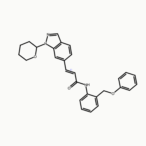 O=C(/C=C/c1ccc2cnn(C3CCCCO3)c2c1)Nc1ccccc1COc1ccccc1